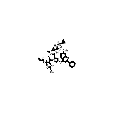 C=CC(=O)OC(C)(C)C(NC(=O)OC(C)(C)C)C(=O)N1C[C@H](Oc2cc(-c3ccccc3)nc3cc(OC)ccc23)CC1C(=O)N[C@]1(C(=O)NS(=O)(=O)C2CC2)C[C@H]1C=C